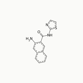 Nc1cc2ccccc2cc1C(=O)Nc1nccs1